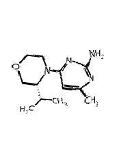 Cc1cc(N2CCOC[C@H]2C(C)C)nc(N)n1